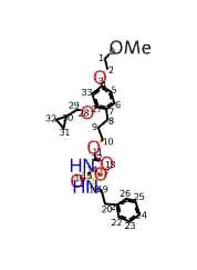 COCCOc1ccc(CCCOC(=O)NS(=O)(=O)NCCc2ccccc2)c(OCC2CC2)c1